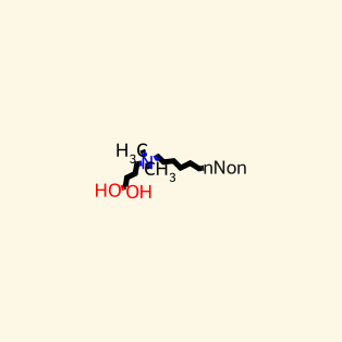 CCCCCCCCCCCCCCC[N+](C)(C)CCCC(O)O